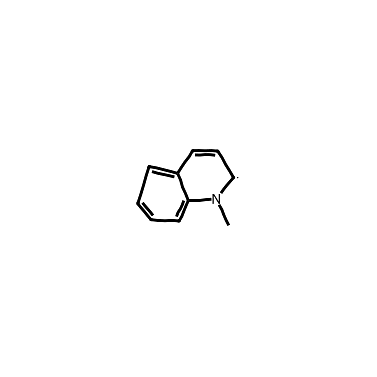 CN1[CH]C=Cc2ccccc21